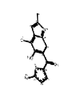 CC1=[C]C2=C(Cl)C(O)=C(C(=O)c3ccc(Br)s3)CC2=N1